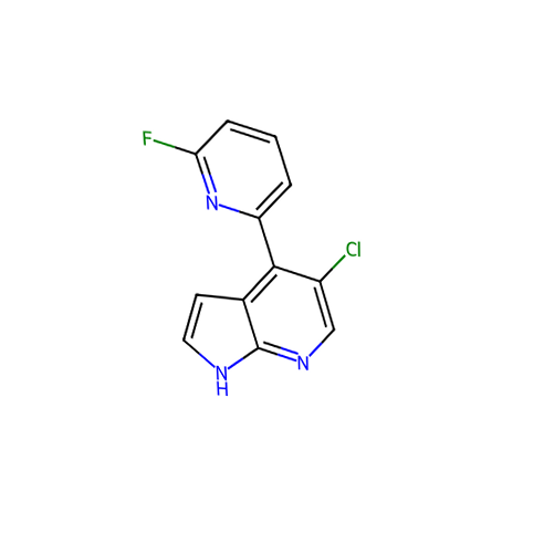 Fc1cccc(-c2c(Cl)cnc3[nH]ccc23)n1